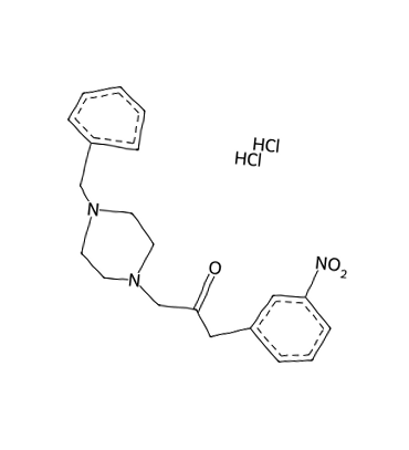 Cl.Cl.O=C(Cc1cccc([N+](=O)[O-])c1)CN1CCN(Cc2ccccc2)CC1